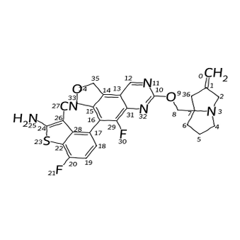 C=C1CN2CCCC2(COc2ncc3c4c(c(-c5ccc(F)c6sc(N)c(C#N)c56)c(F)c3n2)COC4)C1